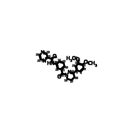 COc1ccc(C2=NN(C(=O)c3cccc(NC(=O)c4cnccn4)c3)CCC2)cc1OC